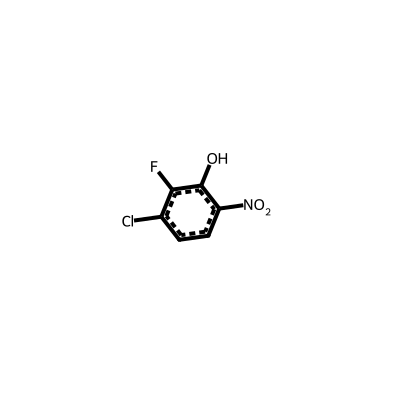 O=[N+]([O-])c1ccc(Cl)c(F)c1O